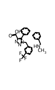 CNCc1ccccc1.O=C(O)c1nnn(Cc2cccc(C(F)(F)F)c2)c1-c1ccccc1